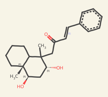 CC1(CC(=O)/C=C/c2ccccc2)C2CCCC[C@@]2(C)[C@H](O)C[C@H]1O